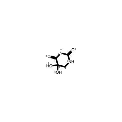 O=C1NCC(O)(O)C(=O)N1